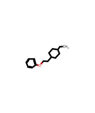 CCC1CCC(CCOc2ccccc2)CC1